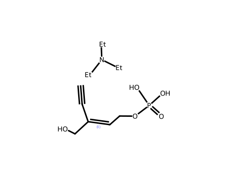 C#C/C(=C\COP(=O)(O)O)CO.CCN(CC)CC